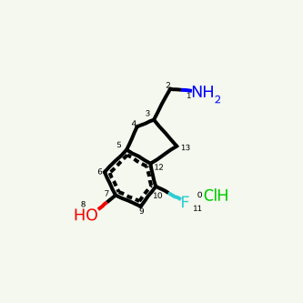 Cl.NCC1Cc2cc(O)cc(F)c2C1